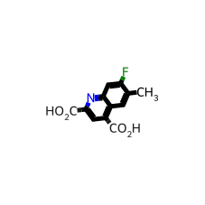 Cc1cc2c(C(=O)O)cc(C(=O)O)nc2cc1F